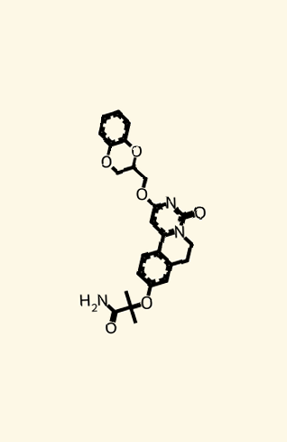 CC(C)(Oc1ccc2c(c1)CCn1c-2cc(OCC2COc3ccccc3O2)nc1=O)C(N)=O